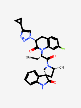 CC(C)(C)C[C@@H](C(=O)N1C[C@]2(C[C@H]1C#N)C(=O)Nc1ccccc12)N1C(=O)[C@@H](n2cc(C3CC3)nn2)Cc2ccc(F)cc21